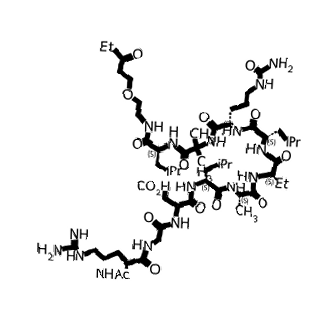 CCC(=O)CCOCCNC(=O)[C@H](CC(C)C)NC(=O)C(C)(C)NC(=O)[C@H](CCCNC(N)=O)NC(=O)[C@H](CC(C)C)NC(=O)[C@H](CC)NC(=O)[C@H](C)NC(=O)[C@H](CC(C)C)NC(=O)C(CC(=O)O)NC(=O)CNC(=O)[C@H](CCCNC(=N)N)NC(C)=O